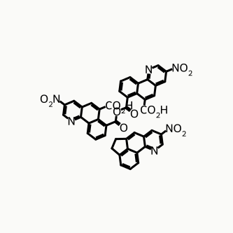 O=C(O)c1cc2cc([N+](=O)[O-])cnc2c2cccc(C(=O)OC(=O)c3cccc4c3c(C(=O)O)cc3cc([N+](=O)[O-])cnc34)c12.O=[N+]([O-])c1cnc2c(c1)cc1c3c(cccc32)CC1